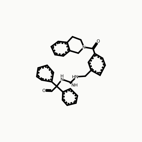 N=C(NCc1cccc(C(=O)N2CCc3ccccc3C2)c1)NC(C=O)(c1ccccc1)c1ccccc1